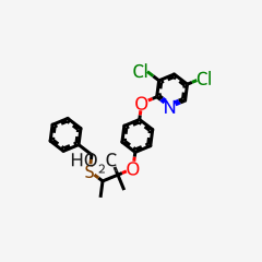 CC(SCc1ccccc1)C(C)(Oc1ccc(Oc2ncc(Cl)cc2Cl)cc1)C(=O)O